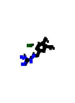 Cl.N=C(N)NN=Cc1ccc(C(F)(F)F)c([N+](=O)[O-])c1